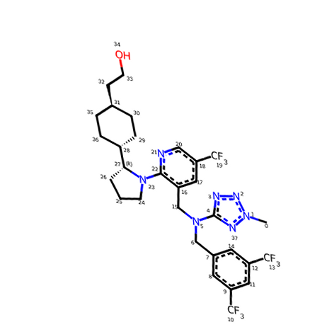 Cn1nnc(N(Cc2cc(C(F)(F)F)cc(C(F)(F)F)c2)Cc2cc(C(F)(F)F)cnc2N2CCC[C@@H]2[C@H]2CC[C@H](CCO)CC2)n1